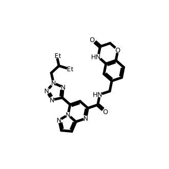 CCC(CC)Cn1nnc(-c2cc(C(=O)NCc3ccc4c(c3)NC(=O)CO4)nc3ccnn23)n1